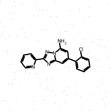 Nc1cc(-c2ccccc2Cl)cc2nc(-c3ccccn3)nn12